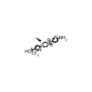 CC#C[C@@H]1CN(S(=O)(=O)c2ccc(N)nc2)CCN1c1ccc([C@@](C)(O)C(F)(F)F)cn1